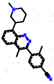 Cc1cc(C#N)ccc1-c1nnc2c(C3CCCN(C)C3)cccc2c1C